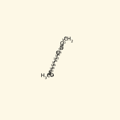 C=CCOCCOCCOCCCC/C=C/CCCCCSC(C)=O